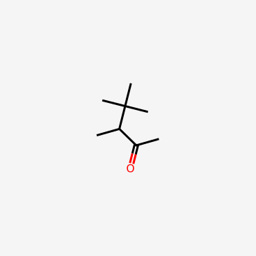 CC(=O)C(C)C(C)(C)C